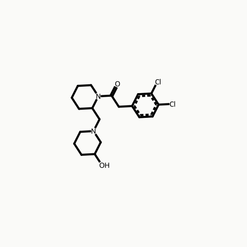 O=C(Cc1ccc(Cl)c(Cl)c1)N1CCCCC1CN1CCCC(O)C1